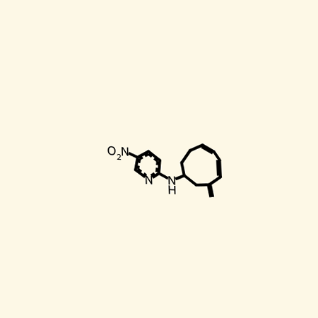 C=C1/C=C\C=C/CCC(Nc2ccc([N+](=O)[O-])cn2)C1